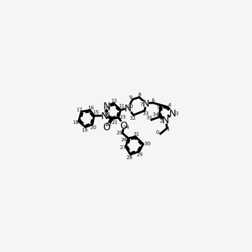 CCn1ncc(CN2CCN(c3cnn(-c4ccccc4)c(=O)c3OCc3ccccc3)CC2)c1C